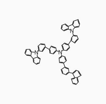 c1cc(-c2ccc(N(c3ccc(-c4cccc(-n5c6ccccc6c6ccccc65)c4)cc3)c3ccc(-c4cccc(-n5c6ccccc6c6ccccc65)c4)cc3)cc2)cc(-c2cccc3ccccc23)c1